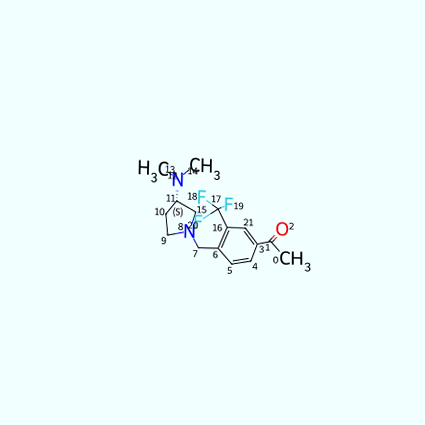 CC(=O)c1ccc(CN2CC[C@H](N(C)C)C2)c(C(F)(F)F)c1